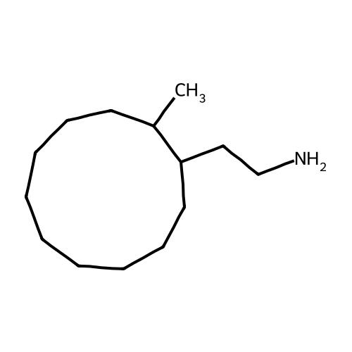 CC1CCCCCCCCCC1CCN